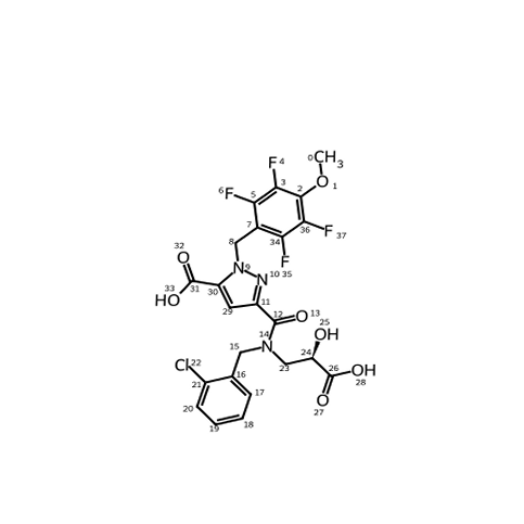 COc1c(F)c(F)c(Cn2nc(C(=O)N(Cc3ccccc3Cl)C[C@@H](O)C(=O)O)cc2C(=O)O)c(F)c1F